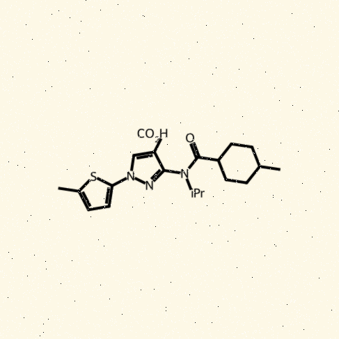 Cc1ccc(-n2cc(C(=O)O)c(N(C(=O)C3CCC(C)CC3)C(C)C)n2)s1